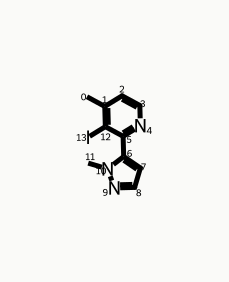 Cc1ccnc(-c2ccnn2C)c1I